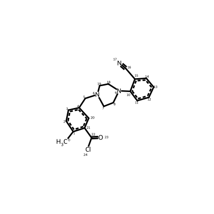 Cc1ccc(CN2CCN(c3ccccc3C#N)CC2)cc1C(=O)Cl